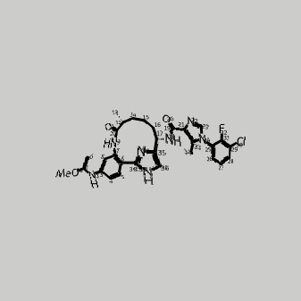 C=C(Nc1ccc2c(c1)NC(=O)[C@H](C)CCC[C@H](NC(=O)c1ncn(-c3cccc(Cl)c3F)c1C)c1c[nH]c-2n1)OC